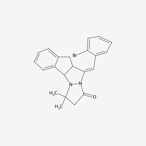 CC1(C)CC(=O)N2/C(=C/c3ccccc3Br)C3Cc4ccccc4C3N21